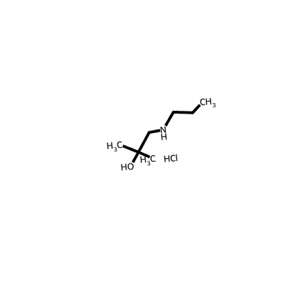 CCCNCC(C)(C)O.Cl